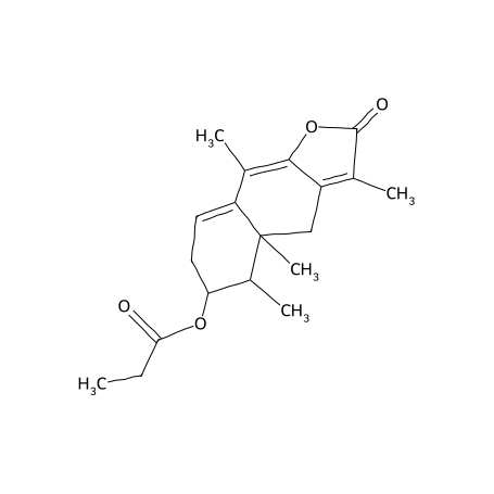 CCC(=O)OC1CC=C2C(C)=C3OC(=O)C(C)=C3CC2(C)C1C